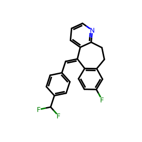 Fc1ccc2c(c1)CCc1ncccc1/C2=C/c1ccc(C(F)F)cc1